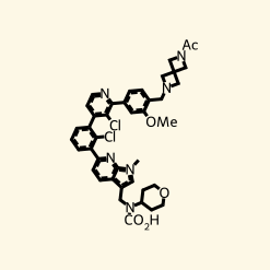 COc1cc(-c2nccc(-c3cccc(-c4ccc5c(CN(C(=O)O)C6CCOCC6)cn(C)c5n4)c3Cl)c2Cl)ccc1CN1CC2(C1)CN(C(C)=O)C2